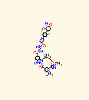 Cc1cc2cc(n1)-c1cnn(C)c1OCCC[C@@H](C)CN1/C(=N/C2=O)Nc2ccc(C(=O)NCCNC(=O)[C@@H]3CCN(c4cc(F)c([C@H]5CCC(=O)NC5=O)c(F)c4)C3)cc21